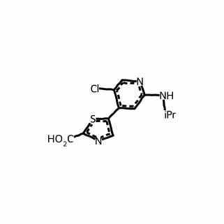 CC(C)Nc1cc(-c2cnc(C(=O)O)s2)c(Cl)cn1